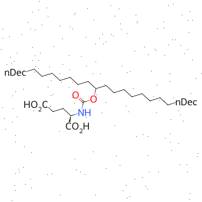 CCCCCCCCCCCCCCCCCCC(CCCCCCCCCCCCCCCCC)OC(=O)N[C@H](CCC(=O)O)C(=O)O